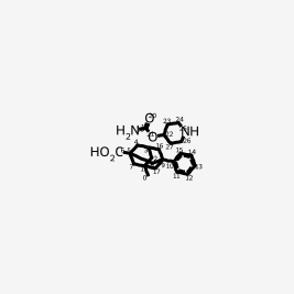 CC12CC3CC(C(=O)O)(C1)CC(c1ccccc1)(C3)C2.NC(=O)OC1CCNCC1